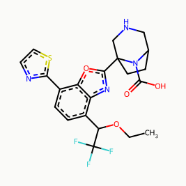 CCOC(c1ccc(-c2nccs2)c2oc(C34CCC(CNC3)N4C(=O)O)nc12)C(F)(F)F